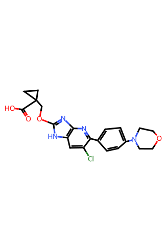 O=C(O)C1(COc2nc3nc(-c4ccc(N5CCOCC5)cc4)c(Cl)cc3[nH]2)CC1